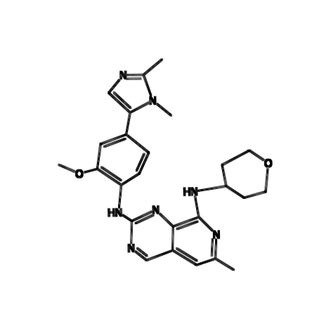 COc1cc(-c2cnc(C)n2C)ccc1Nc1ncc2cc(C)nc(NC3CCOCC3)c2n1